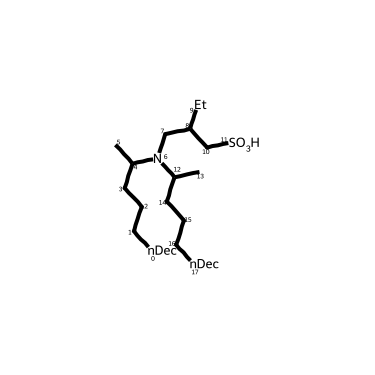 CCCCCCCCCCCCCC(C)N(CC(CC)CS(=O)(=O)O)C(C)CCCCCCCCCCCCC